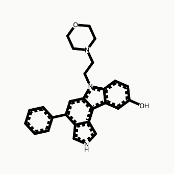 Oc1ccc2c(c1)c1c3c[nH]cc3c(-c3ccccc3)cc1n2CCN1CCOCC1